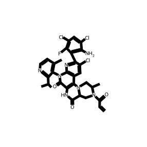 C=CC(=O)N1CC2C(=O)Nc3c(c4cc(Cl)c(-c5c(N)c(Cl)cc(Cl)c5F)nc4n(-c4c(C)ccnc4C(C)C)c3=O)N2CC1C